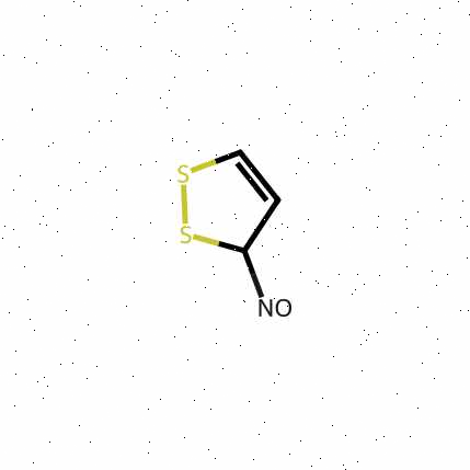 O=NC1C=CSS1